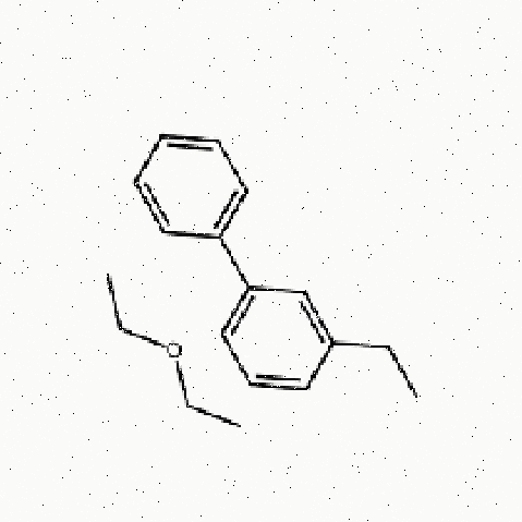 CCOCC.CCc1cccc(-c2ccccc2)c1